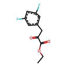 CCOC(=O)C(=O)Cc1cc(F)cc(F)c1